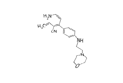 C=C/C(C#N)=C(\C=C/N)c1ccc(NCCN2CCOCC2)cc1